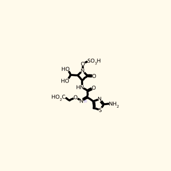 Nc1nc(/C(=N/OCC(=O)O)C(=O)NC2C(=O)N(OS(=O)(=O)O)C2C(O)O)cs1